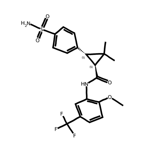 COc1ccc(C(F)(F)F)cc1NC(=O)[C@H]1[C@H](c2ccc(S(N)(=O)=O)cc2)C1(C)C